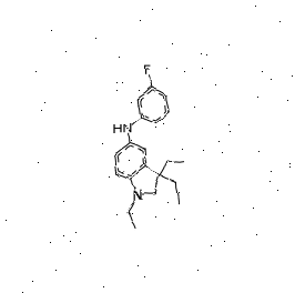 CCN1CC(CC)(CC)c2cc(Nc3cccc(F)c3)ccc21